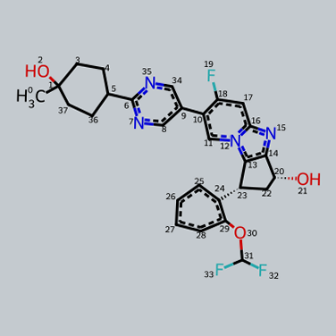 CC1(O)CCC(c2ncc(-c3cn4c5c(nc4cc3F)[C@H](O)C[C@@H]5c3ccccc3OC(F)F)cn2)CC1